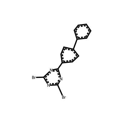 Brc1nc(Br)nc(-c2ccc(-c3ccccc3)cc2)n1